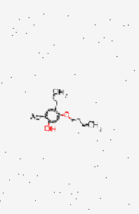 C=CCCOc1cc(O)c(C(C)=O)cc1CC=C